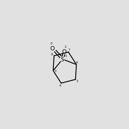 O=S1(=O)C2CCC1CC2